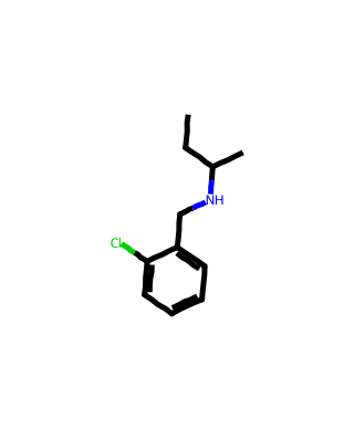 CCC(C)NCc1ccccc1Cl